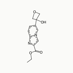 CCOC(=O)c1cn2cc(C3(O)COC3)ccc2n1